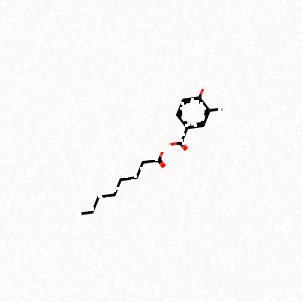 CCCCCCCC(=O)OC(=O)c1ccc(O)c(C)c1